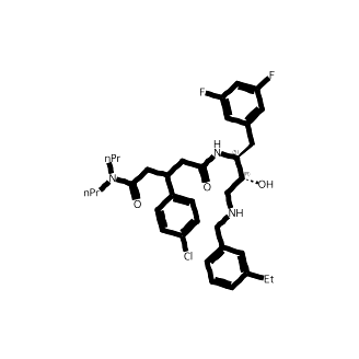 CCCN(CCC)C(=O)CC(CC(=O)N[C@@H](Cc1cc(F)cc(F)c1)[C@H](O)CNCc1cccc(CC)c1)c1ccc(Cl)cc1